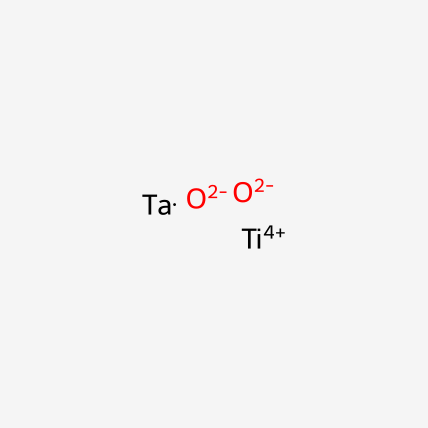 [O-2].[O-2].[Ta].[Ti+4]